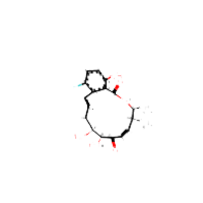 C[C@@H]1OC(=O)c2c(O)ccc(F)c2/C=C/C[C@H](O)[C@H](O)C(=O)/C=C\[C@@H]1C